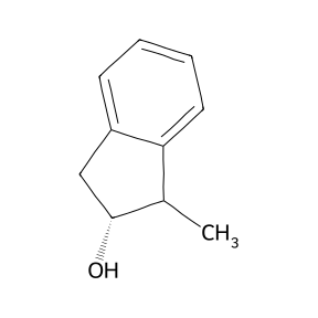 CC1c2ccccc2C[C@H]1O